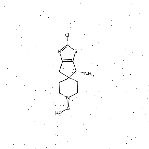 N[C@H]1c2sc(Cl)nc2CC12CCN(SS)CC2